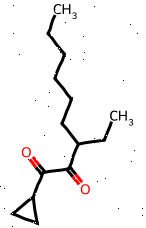 CCCCCCC(CC)C(=O)C(=O)C1CC1